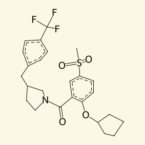 CS(=O)(=O)c1ccc(OC2CCCC2)c(C(=O)N2CCC(Cc3ccc(C(F)(F)F)cc3)C2)c1